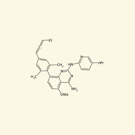 CCC=C=Cc1cc(C)c(-c2ccc(OC)c3c(N)nc(Nc4ccc(CCC)cn4)nc23)c(C)c1